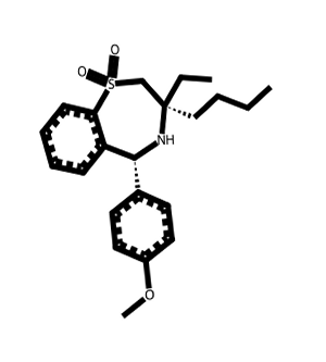 CCCC[C@@]1(CC)CS(=O)(=O)c2ccccc2[C@@H](c2ccc(OC)cc2)N1